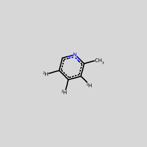 [2H]c1cnc(C)c([2H])c1[2H]